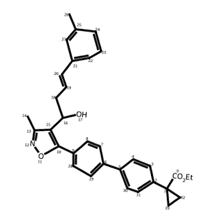 CCOC(=O)C1(c2ccc(-c3ccc(-c4onc(C)c4C(O)C/C=C/c4cccc(C)c4)cc3)cc2)CC1